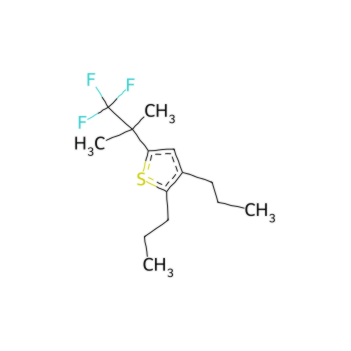 CCCc1cc(C(C)(C)C(F)(F)F)sc1CCC